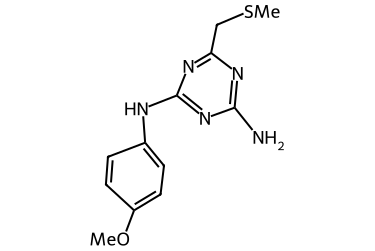 COc1ccc(Nc2nc(N)nc(CSC)n2)cc1